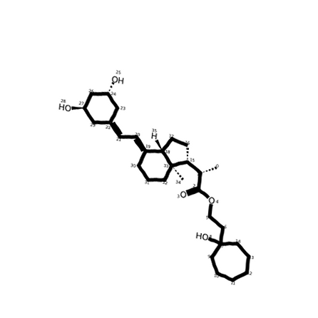 C[C@H](C(=O)OCCC1(O)CCCCCC1)[C@H]1CC[C@H]2/C(=C/C=C3C[C@@H](O)C[C@H](O)C3)CCC[C@]12C